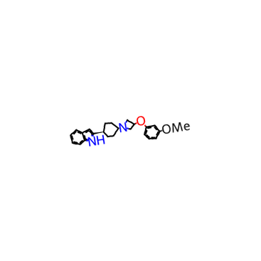 COc1cccc(OC2CN([C@H]3CC[C@H](c4cc5ccccc5[nH]4)CC3)C2)c1